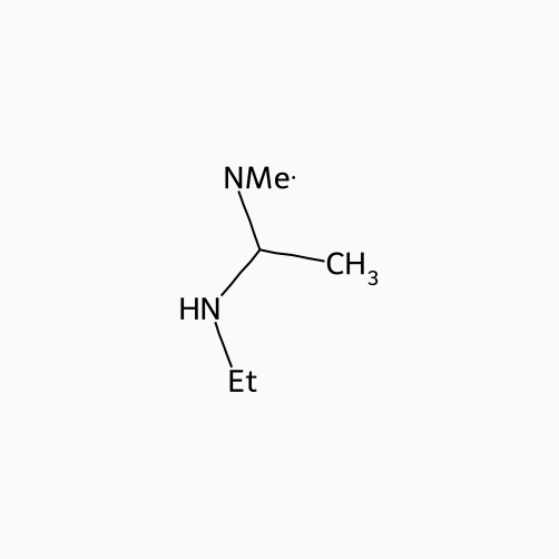 CCNC(C)[N]C